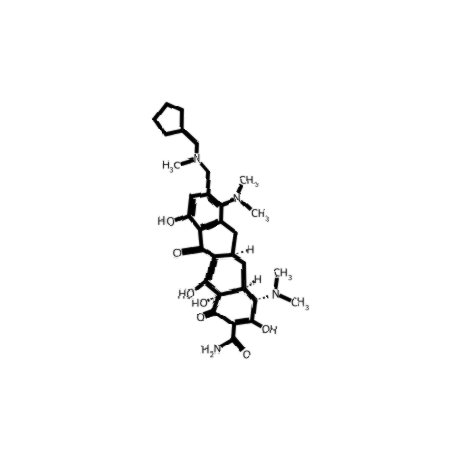 CN(Cc1cc(O)c2c(c1N(C)C)C[C@H]1C[C@H]3[C@H](N(C)C)C(O)=C(C(N)=O)C(=O)[C@@]3(O)C(O)=C1C2=O)CC1CCCC1